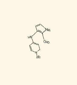 CCCN1C=CC(Nc2cc[nH]c2C=O)=CC1